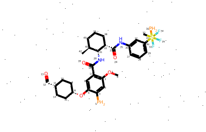 COc1cc(P)c(O[C@H]2CC[C@@H](C=O)CC2)cc1C(=O)N[C@H]1[C@@H](C(=O)Nc2cccc(S(C)(F)(F)(F)P)c2)CCC[C@@H]1C